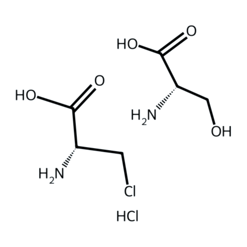 Cl.N[C@@H](CCl)C(=O)O.N[C@@H](CO)C(=O)O